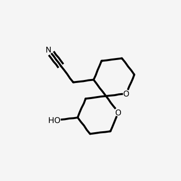 N#CCC1CCCOC12CC(O)CCO2